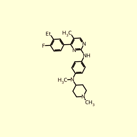 CCc1cc(-c2nc(Nc3ccc(N(C)C4CCN(C)CC4)cc3)ncc2C)ccc1F